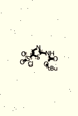 CC(C)(C)OC(=O)Nc1ncc(S(=O)(=O)Cl)s1